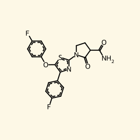 NC(=O)C1CCN(c2nc(-c3ccc(F)cc3)c(Oc3ccc(F)cc3)s2)C1=O